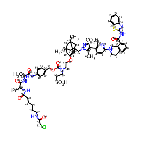 Cc1c(-c2ccc(N3CCc4cccc(C(=O)Nc5nc6ccccc6s5)c4C3)nc2C(=O)O)cnn1CC12CC3(C)CC(C)(C1)CC(OCCN(CCS(=O)(=O)O)C(=O)OCc1ccc(NC(=O)[C@H](C)NC(=O)[C@@H](NC(=O)CCCCCNC(=O)CCl)C(C)C)cc1)(C3)C2